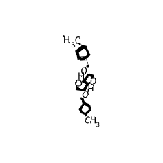 CC1CCC(CO[C@H]2CO[C@H]3[C@@H]2OC[C@H]3OC[C@H]2CC[C@@H](C)CC2)CC1